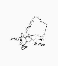 COC(OC1CCCCCCCCCCCCCCC1)c1ccc2c(c1)C(=O)OB(O)O2